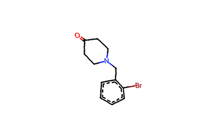 O=C1CCN(Cc2ccccc2Br)CC1